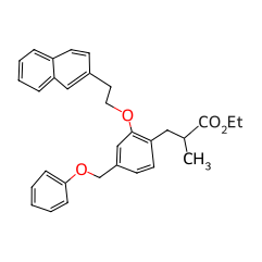 CCOC(=O)C(C)Cc1ccc(COc2ccccc2)cc1OCCc1ccc2ccccc2c1